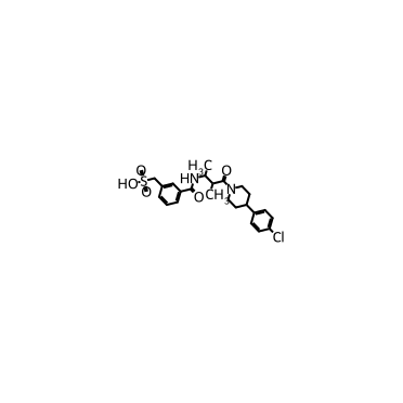 CC(NC(=O)c1cccc(CS(=O)(=O)O)c1)C(C)C(=O)N1CCC(c2ccc(Cl)cc2)CC1